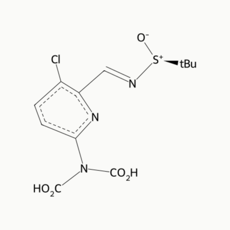 CC(C)(C)[S@+]([O-])/N=C/c1nc(N(C(=O)O)C(=O)O)ccc1Cl